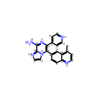 Cc1ccnc2ccc(-c3c(-c4ccncc4)nc(N)c4nccn34)cc12